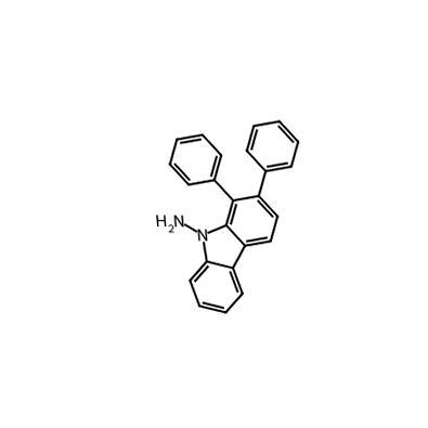 Nn1c2ccccc2c2ccc(-c3ccccc3)c(-c3ccccc3)c21